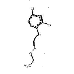 CCO/N=C/[CH]c1ncc(Cl)cc1Cl